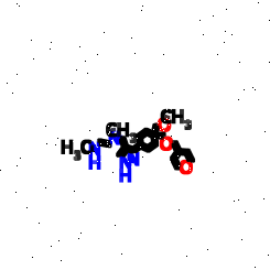 CNCCN(C)Cc1c[nH]nc1C1CCC(COC)(COCC2CCOCC2)CC1